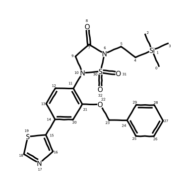 C[Si](C)(C)CCN1C(=O)CN(c2ccc(-c3cncs3)cc2OCc2ccccc2)S1(=O)=O